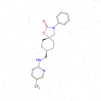 O=C1O[C@]2(CC[C@H](CNc3ccc(C(F)(F)F)cn3)CC2)CN1c1ccccc1